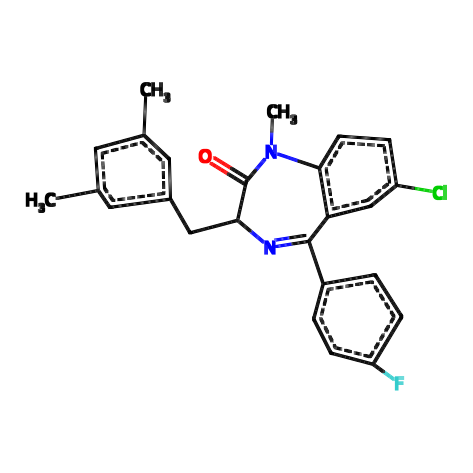 Cc1cc(C)cc(CC2N=C(c3ccc(F)cc3)c3cc(Cl)ccc3N(C)C2=O)c1